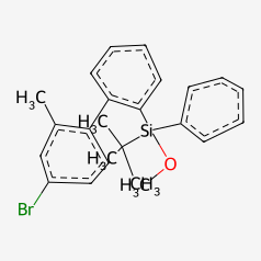 CO[Si](c1ccccc1)(c1ccccc1-c1ccc(Br)cc1C)C(C)(C)C